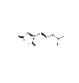 CC(C)CC=CC1=CC(=O)OC1=O